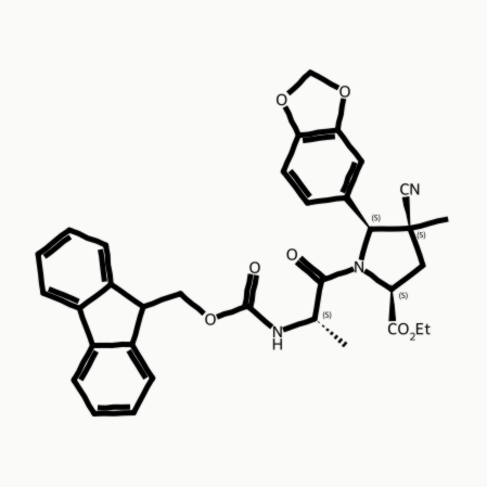 CCOC(=O)[C@@H]1C[C@](C)(C#N)[C@H](c2ccc3c(c2)OCO3)N1C(=O)[C@H](C)NC(=O)OCC1c2ccccc2-c2ccccc21